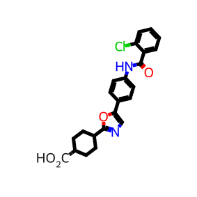 O=C(Nc1ccc(-c2cnc(C3CCC(C(=O)O)CC3)o2)cc1)c1ccccc1Cl